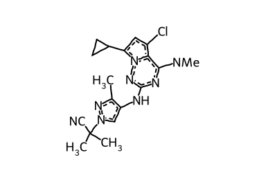 CNc1nc(Nc2cn(C(C)(C)C#N)nc2C)nn2c(C3CC3)cc(Cl)c12